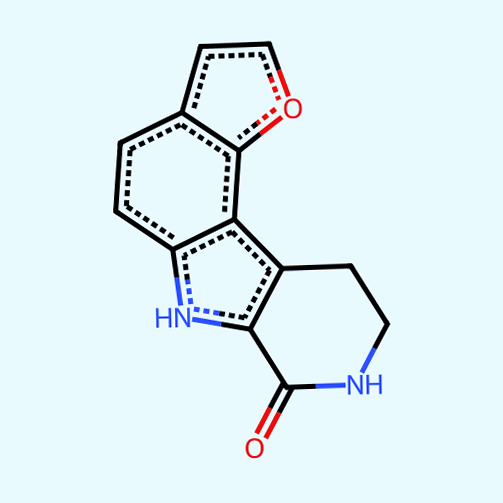 O=C1NCCc2c1[nH]c1ccc3ccoc3c21